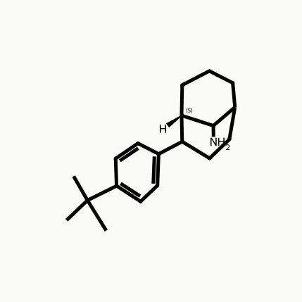 CC(C)(C)c1ccc(C2CCC3CCC[C@@H]2C3N)cc1